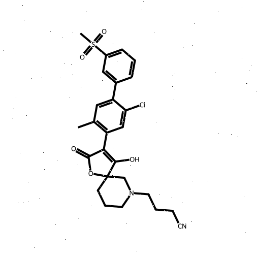 Cc1cc(-c2cccc(S(C)(=O)=O)c2)c(Cl)cc1C1=C(O)C2(CCCN(CCCC#N)C2)OC1=O